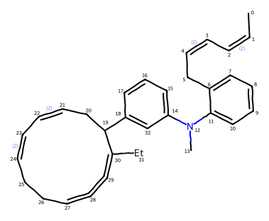 C/C=C\C=C/Cc1ccccc1N(C)c1cccc(C2C/C=C\C=C/CCC=C=C=C2CC)c1